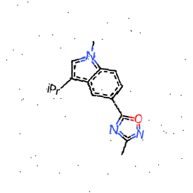 Cc1noc(-c2ccc3c(c2)c(C(C)C)cn3C)n1